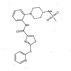 CS(=O)(=O)NC1CCN(c2ccccc2NC(=O)c2csc(Sc3ccccn3)n2)CC1